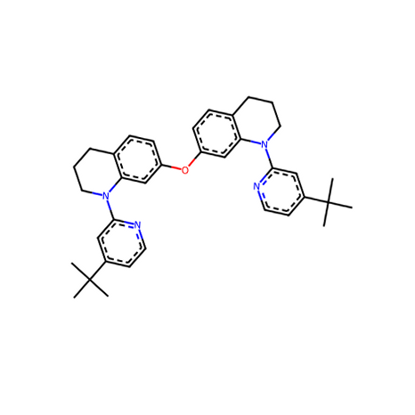 CC(C)(C)c1ccnc(N2CCCc3ccc(Oc4ccc5c(c4)N(c4cc(C(C)(C)C)ccn4)CCC5)cc32)c1